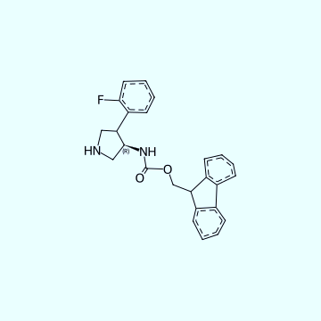 O=C(N[C@H]1CNCC1c1ccccc1F)OCC1c2ccccc2-c2ccccc21